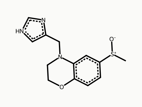 C[S+]([O-])c1ccc2c(c1)N(Cc1c[nH]cn1)CCO2